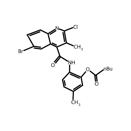 CCCCC(=O)Oc1cc(C)ccc1NC(=O)c1c(C)c(Cl)nc2ccc(Br)cc12